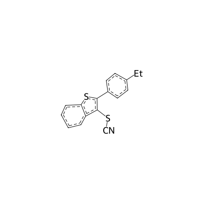 CCc1ccc(-c2sc3ccccc3c2SC#N)cc1